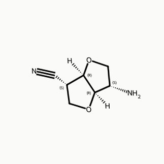 N#C[C@H]1CO[C@H]2[C@@H]1OC[C@@H]2N